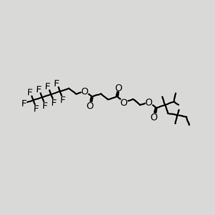 CCC(C)(C)CC(C)(C(=O)OCCOC(=O)CCC(=O)OCCC(F)(F)C(F)(F)C(F)(F)C(F)(F)F)C(C)C